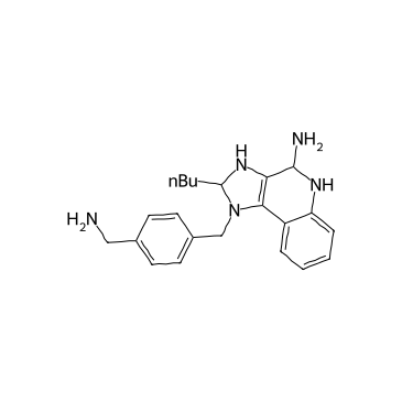 CCCCC1NC2=C(c3ccccc3NC2N)N1Cc1ccc(CN)cc1